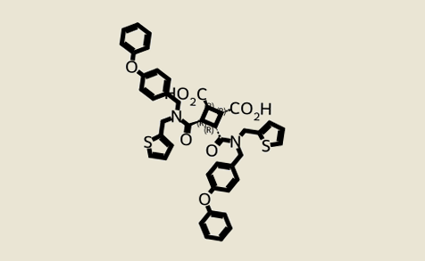 O=C(O)[C@H]1[C@H](C(=O)O)[C@H](C(=O)N(Cc2ccc(Oc3ccccc3)cc2)Cc2cccs2)[C@H]1C(=O)N(Cc1ccc(Oc2ccccc2)cc1)Cc1cccs1